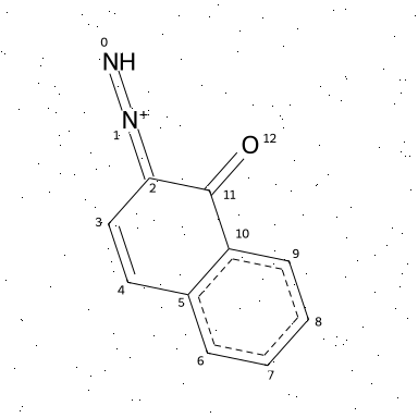 N=[N+]=C1C=Cc2ccccc2C1=O